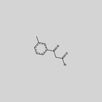 CCC(=O)CC(=O)c1cccc(C)c1